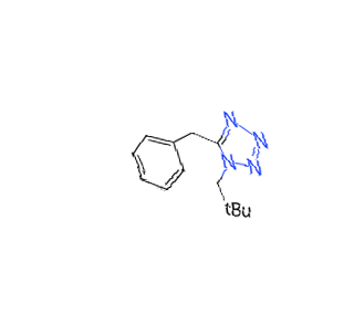 CC(C)(C)Cn1nnnc1Cc1ccccc1